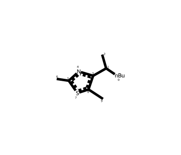 [CH2]CCCC(C)c1nc(C)sc1C